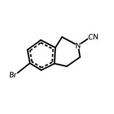 N#CN1CCc2cc(Br)ccc2C1